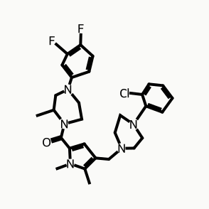 Cc1c(CN2CCN(c3ccccc3Cl)CC2)cc(C(=O)N2CCN(c3ccc(F)c(F)c3)CC2C)n1C